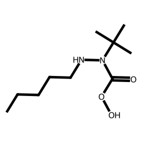 CCCCCNN(C(=O)OO)C(C)(C)C